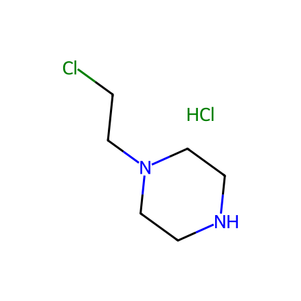 Cl.ClCCN1CCNCC1